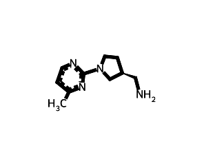 Cc1ccnc(N2CC[C@@H](CN)C2)n1